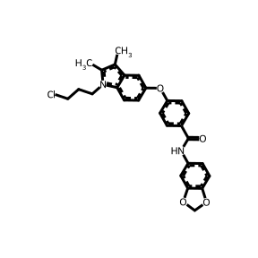 Cc1c(C)n(CCCCl)c2ccc(Oc3ccc(C(=O)Nc4ccc5c(c4)OCO5)cc3)cc12